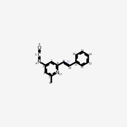 Cc1cc(N=C=O)cc(/C=C/c2ccccc2)n1